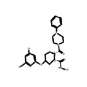 O=C(NO)[C@H]1CC(Oc2cc(Cl)cc(Cl)c2)CC[C@@H]1C(=O)N1CCN(c2ccccc2)CC1